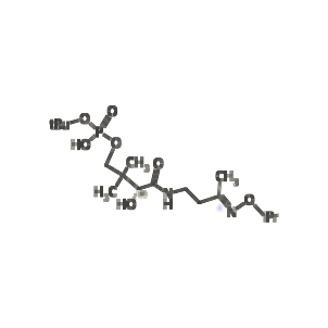 C/C(CCNC(=O)[C@H](O)C(C)(C)COP(=O)(O)OC(C)(C)C)=N\OC(C)C